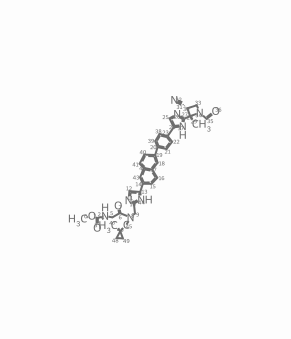 COC(=O)NCC(=O)N(Cc1ncc(-c2ccc3cc(-c4ccc(-c5cnc(C6(C)[C@H](C#N)CN6C=O)[nH]5)cc4)ccc3c2)[nH]1)CC1(C)CC1